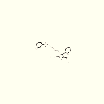 CCCCc1nc2c(N)nc3ccccc3c2n1CCCCNS(=O)(=O)c1cccc(N)c1